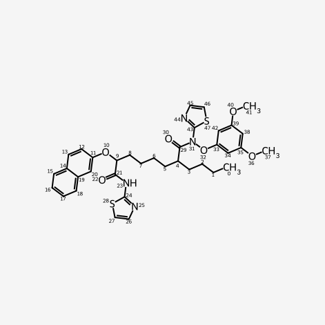 CCCCC(CCCCC(Oc1ccc2ccccc2c1)C(=O)Nc1nccs1)C(=O)N(Oc1cc(OC)cc(OC)c1)c1nccs1